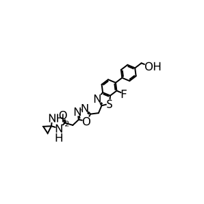 NC1(NC(=O)Cc2nnc(Cc3nc4ccc(-c5ccc(CO)cc5)c(F)c4s3)o2)CC1